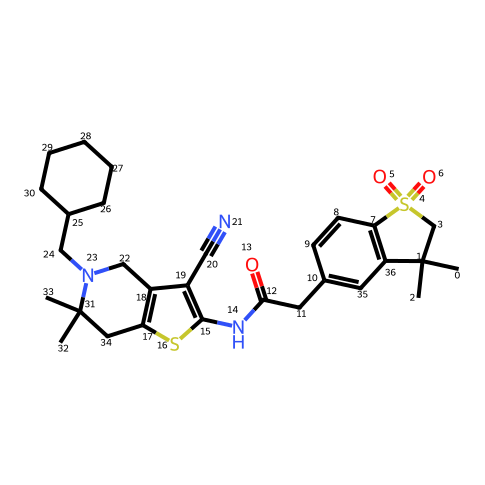 CC1(C)CS(=O)(=O)c2ccc(CC(=O)Nc3sc4c(c3C#N)CN(CC3CCCCC3)C(C)(C)C4)cc21